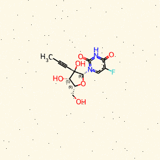 CC#CC1(O)[C@@H](O)[C@@H](CO)O[C@H]1n1cc(F)c(=O)[nH]c1=O